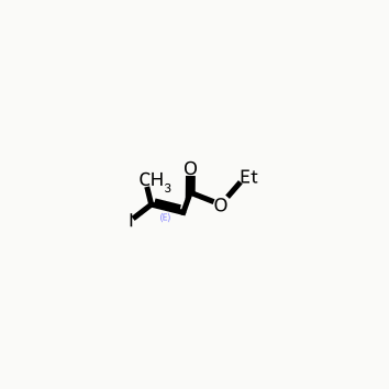 CCOC(=O)/C=C(\C)I